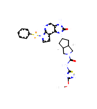 COc1nsc(NC(=O)N2C[C@H]3C[C@H](n4c(=O)[nH]c5cnc6c(ccn6S(=O)(=O)c6ccccc6)c54)C[C@H]3C2)n1